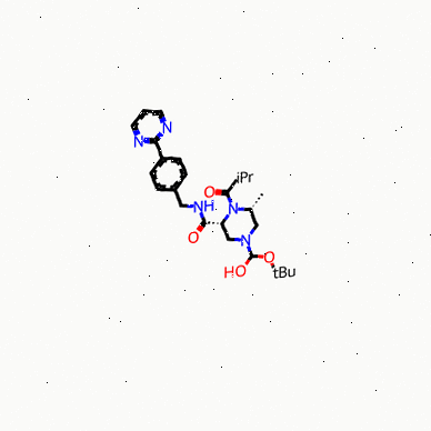 CC(C)C(=O)N1[C@H](C)CN(C(O)OC(C)(C)C)C[C@@H]1C(=O)NCc1ccc(-c2ncccn2)cc1